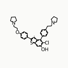 Oc1cc2sc(-c3ccc(OCCN4CCCC4)cc3)[c]c2c(-c2ccc(CCN3CCCC3)cc2)c1Cl